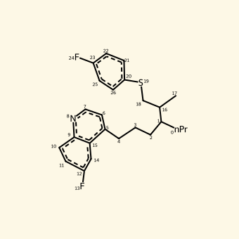 CCCC(CCCc1ccnc2ccc(F)cc12)C(C)CSc1ccc(F)cc1